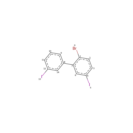 Brc1[c]cc(I)cc1-c1cccc(I)c1